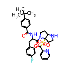 CC(C)(C)c1ccc(C(=O)NC(Cc2ccc(F)cc2)C(=O)N2CCC3NCC(=O)C32S(=O)(=O)C(=O)c2ccccn2)cc1